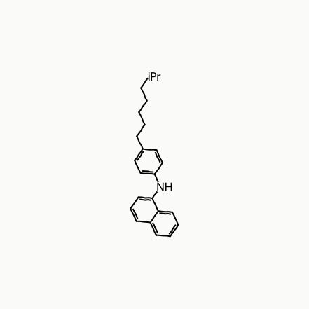 CC(C)CCCCCc1ccc(Nc2cccc3ccccc23)cc1